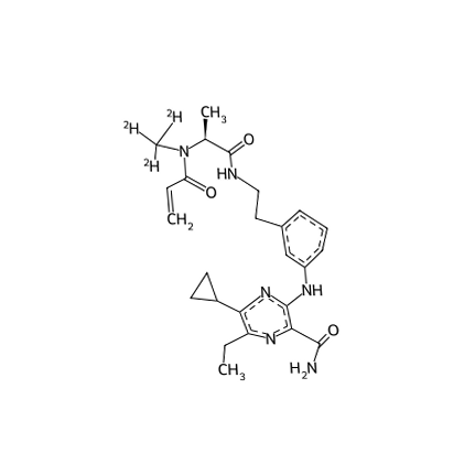 [2H]C([2H])([2H])N(C(=O)C=C)[C@@H](C)C(=O)NCCc1cccc(Nc2nc(C3CC3)c(CC)nc2C(N)=O)c1